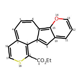 CCOC(=O)C1=c2c(cccc3c2cc2cccoc23)C=CS1